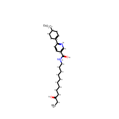 CCOC(=O)C1CC=C(c2ccc(C(=O)NCCCCCCCCCC(=O)CC(C)(C)C)cn2)CC1